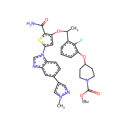 CC(Oc1cc(-n2cnc3cc(-c4cnn(C)c4)ccc32)sc1C(N)=O)c1cccc(OC2CCN(C(=O)OC(C)(C)C)CC2)c1F